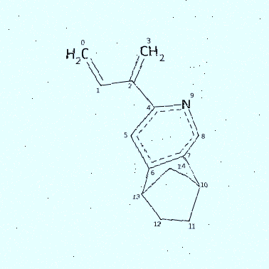 C=CC(=C)c1cc2c(cn1)C1CCC2C1